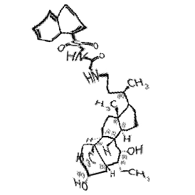 CC[C@H]1[C@@H](O)[C@@H]2[C@H](CC[C@]3(C)C([C@H](C)CCNC(=O)NS(=O)(=O)c4cccc5ccccc45)CC[C@@H]23)[C@@]2(C)CC[C@@H](O)C[C@@H]12